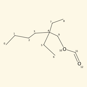 CCCCC(CC)(CC)COC=O